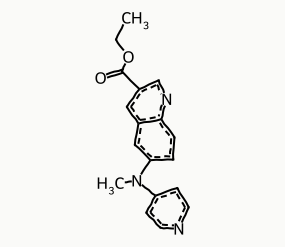 CCOC(=O)c1cnc2ccc(N(C)c3ccncc3)cc2c1